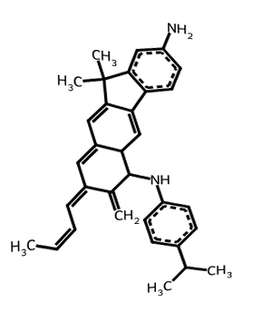 C=C1/C(=C\C=C/C)C=C2C=C3C(=CC2C1Nc1ccc(C(C)C)cc1)c1ccc(N)cc1C3(C)C